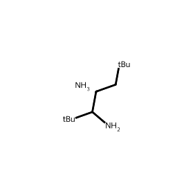 CC(C)(C)CCC(N)C(C)(C)C.N